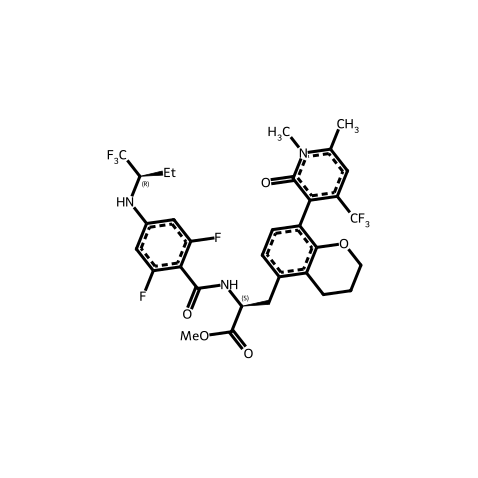 CC[C@@H](Nc1cc(F)c(C(=O)N[C@@H](Cc2ccc(-c3c(C(F)(F)F)cc(C)n(C)c3=O)c3c2CCCO3)C(=O)OC)c(F)c1)C(F)(F)F